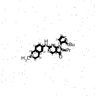 CC(C)n1c(=O)c2cnc(Nc3ccc4c(c3)CCN(C)C4)nc2n1-c1ccsc1C(C)(C)C